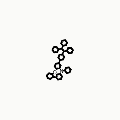 c1ccc(C(=C(c2ccccc2)c2ccc(-c3cccc(N(c4ccccc4)c4cccc5c4oc4ccccc45)c3)cc2)c2ccccc2)cc1